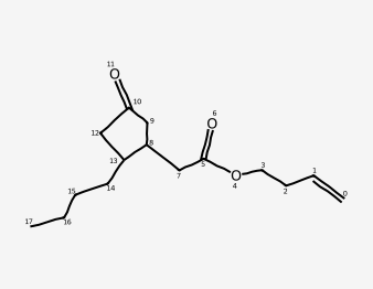 C=CCCOC(=O)CC1CC(=O)CC1CCCC